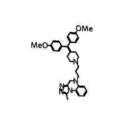 COc1ccc(C(=C2CCN(CCCN3Cc4nnc(C)n4-c4ccccc43)CC2)c2ccc(OC)cc2)cc1